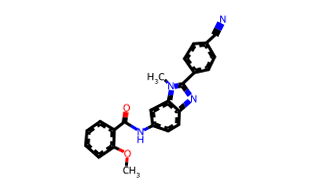 COc1ccccc1C(=O)Nc1ccc2nc(-c3ccc(C#N)cc3)n(C)c2c1